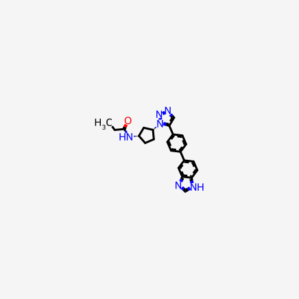 CCC(=O)N[C@H]1CC[C@@H](n2nncc2-c2ccc(-c3ccc4[nH]cnc4c3)cc2)C1